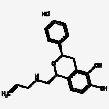 C=CCNC[C@H]1O[C@@H](c2ccccc2)Cc2c1ccc(O)c2O.Cl